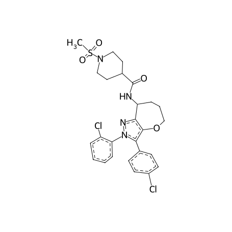 CS(=O)(=O)N1CCC(C(=O)NC2CCCOc3c2nn(-c2ccccc2Cl)c3-c2ccc(Cl)cc2)CC1